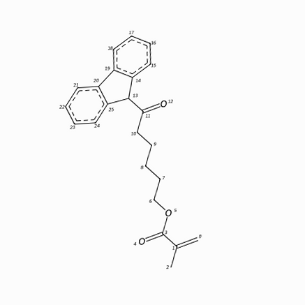 C=C(C)C(=O)OCCCCCC(=O)C1c2ccccc2-c2ccccc21